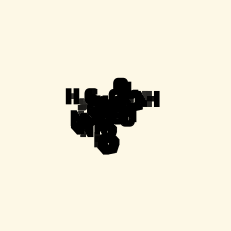 CC(C)CC(NC(=O)C(Cc1ccccc1)NC(=O)c1cnccn1)B1OC(=O)[C@@H]2CNC[C@@H](C(=O)O1)N2C